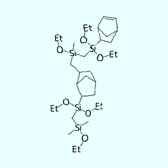 CCO[Si](C)(C)C[Si](OCC)(OCC)C1CC2CC(C[Si](C)(C[Si](OCC)(OCC)C3CC4C=CC3C4)OCC)C1C2